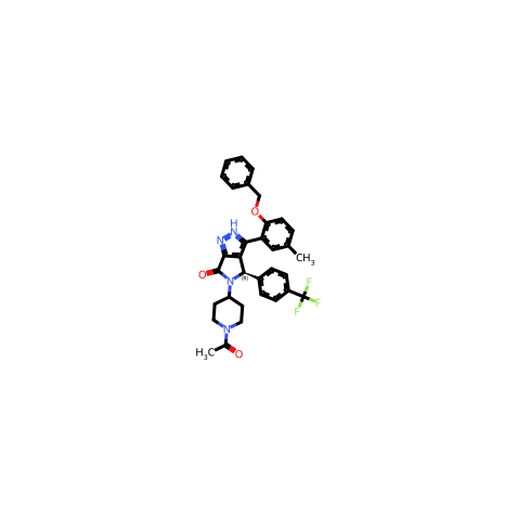 CC(=O)N1CCC(N2C(=O)c3n[nH]c(-c4cc(C)ccc4OCc4ccccc4)c3[C@H]2c2ccc(C(F)(F)F)cc2)CC1